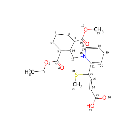 CCOC(=O)C1CCCC(C(=O)OC)C1CN1C=CCC=C1C(C=CC(=O)O)SC